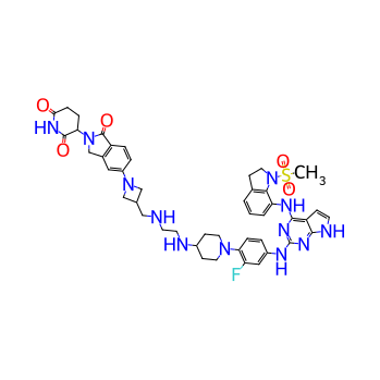 CS(=O)(=O)N1CCc2cccc(Nc3nc(Nc4ccc(N5CCC(NCCNCC6CN(c7ccc8c(c7)CN(C7CCC(=O)NC7=O)C8=O)C6)CC5)c(F)c4)nc4[nH]ccc34)c21